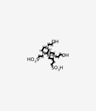 O=S(=O)(O)CCC1CNCCN1CCO.O=S(=O)(O)CCN1CCN(CCO)CC1